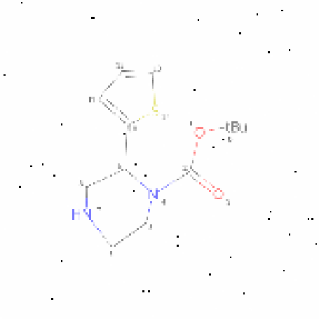 CC(C)(C)OC(=O)N1CCNCC1c1cccs1